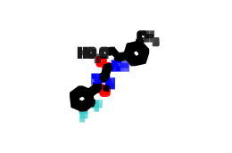 Cc1cccc([C@H](CC(=O)O)NC(=O)c2noc(-c3cccc(F)c3F)n2)c1